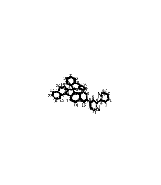 c1ccc(-c2cc(-c3ccc4c5c(ccc4c3)-c3c(ccc4ccccc34)C53c4ccccc4-c4ccccc43)ccn2)nc1